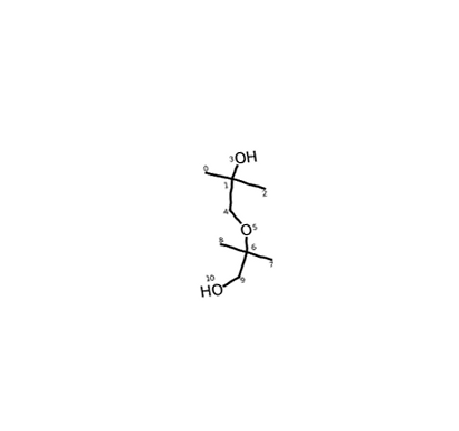 CC(C)(O)COC(C)(C)CO